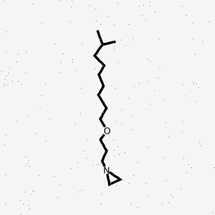 CC(C)CCCCCCCOCCCN1CC1